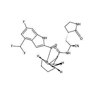 N#C[C@H](C[C@@H]1CCNC1=O)NC(=O)[C@@H]1[C@@H]2CC[C@@H](CC2(F)F)N1C(=O)c1cc2c(C(F)F)cc(F)cc2[nH]1